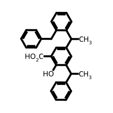 CC(c1cc(C(=O)O)c(O)c(C(C)c2ccccc2)c1)c1ccccc1Cc1ccccc1